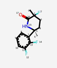 [CH2]C1(F)CC[C@@](C)(c2cccc(F)c2F)NC1=O